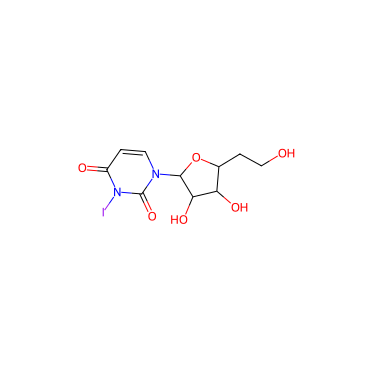 O=c1ccn(C2OC(CCO)C(O)C2O)c(=O)n1I